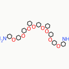 Nc1cccc(Oc2ccc(Oc3cccc(Oc4ccccc4Oc4cccc(Oc5ccccc5Oc5cccc(Oc6ccc(Oc7cccc(N)c7)cc6)c5)c4)c3)cc2)c1